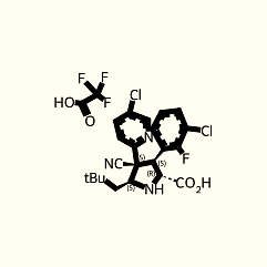 CC(C)(C)C[C@@H]1N[C@@H](C(=O)O)[C@H](c2cccc(Cl)c2F)[C@@]1(C#N)c1ccc(Cl)cn1.O=C(O)C(F)(F)F